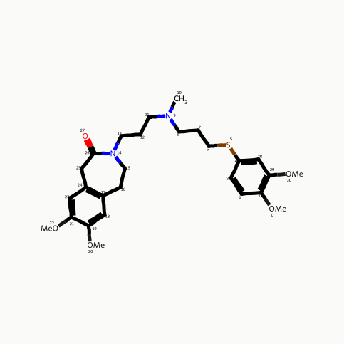 COc1ccc(SCCCN(C)CCCN2CCc3cc(OC)c(OC)cc3CC2=O)cc1OC